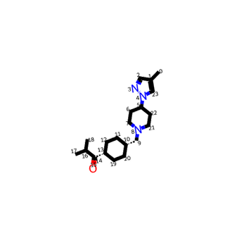 Cc1cnn(C2CCN(C[C@H]3CC[C@@H](C(=O)C(C)C)CC3)CC2)c1